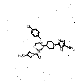 CC1CN(C(=O)[C@H]2CN(C3CCN(c4nnc(N)[nH]4)CC3)[C@@H](Cc3ccc(Cl)cc3)CO2)C1